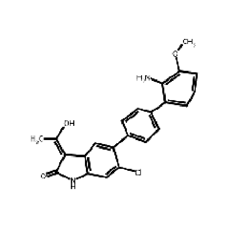 COc1cccc(-c2ccc(-c3cc4c(cc3Cl)NC(=O)/C4=C(\C)O)cc2)c1N